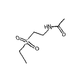 CCS(=O)(=O)CCNC(C)=O